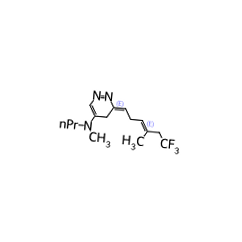 CCCN(C)C1=CN=N/C(=C/C/C=C(\C)CC(F)(F)F)C1